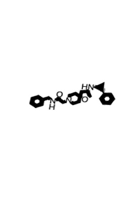 O=C(CN1CCC2(CC1)CC(N[C@@H]1C[C@H]1c1ccccc1)CO2)NCc1ccccc1